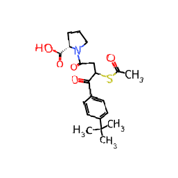 CC(=O)SC(CC(=O)N1CCC[C@H]1C(=O)O)C(=O)c1ccc(C(C)(C)C)cc1